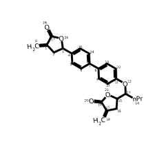 C=C1CC(c2ccc(-c3ccc(OC(CCC)C4CC(=C)C(=O)O4)cc3)cc2)OC1=O